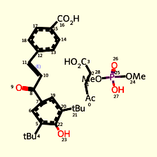 CC(=O)CCC(=O)O.CC(C)(C)c1cc(C(=O)/C=C/c2ccc(C(=O)O)cc2)cc(C(C)(C)C)c1O.COP(=O)(O)OC